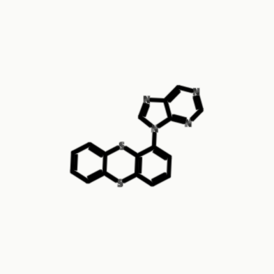 c1ccc2c(c1)Sc1cccc(-n3cnc4cncnc43)c1S2